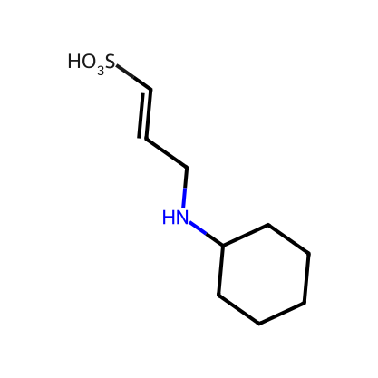 O=S(=O)(O)C=CCNC1CCCCC1